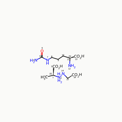 C[C@H](N)C(=O)O.NC(=O)NCCC[C@H](N)C(=O)O.NCC(=O)O